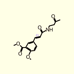 COC(=O)c1cc(/C=C/C(=O)NCCC(C)=O)ccc1OC